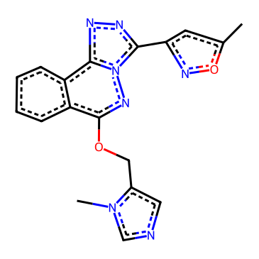 Cc1cc(-c2nnc3c4ccccc4c(OCc4cncn4C)nn23)no1